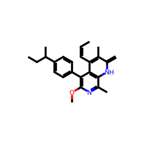 C=C1Nc2c(C)nc(OC)c(-c3ccc(C(C)CC)cc3)c2C(/C=C\C)=C1C